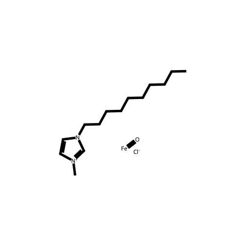 CCCCCCCCCCn1cc[n+](C)c1.[Cl-].[O]=[Fe]